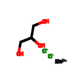 OCC(O)CO.[Cl-].[Cl-].[Mn+2]